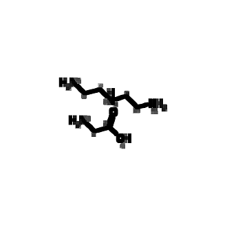 NCC(=O)O.NCCNCCN